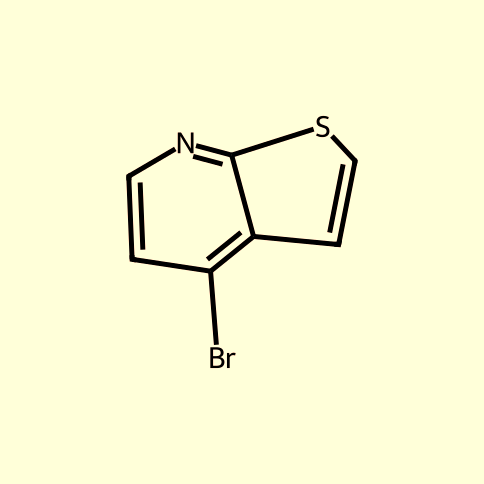 Brc1ccnc2sccc12